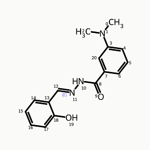 CN(C)c1cccc(C(=O)N/N=C/c2ccccc2O)c1